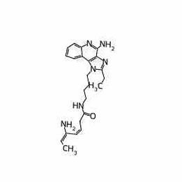 C/C=C(N)\C=C/CC(=O)NCCCCn1c(CC)nc2c(N)nc3ccccc3c21